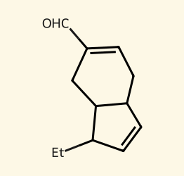 CCC1C=CC2CC=C(C=O)CC12